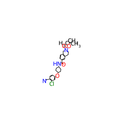 CC(C)(C)OC(=O)N1CCc2cc(C(=O)N[C@H]3CC[C@H](Oc4ccc(C#N)c(Cl)c4)CC3)ccc2C1